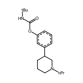 CCCN1CCCC(c2cccc(OC(=O)NC(C)(C)C)c2)C1